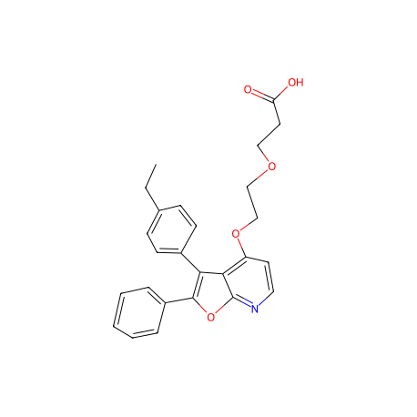 CCc1ccc(-c2c(-c3ccccc3)oc3nccc(OCCOCCC(=O)O)c23)cc1